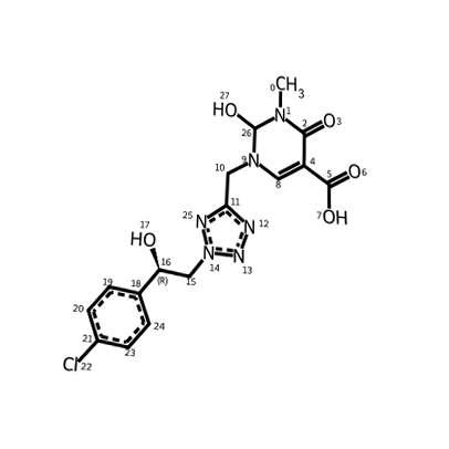 CN1C(=O)C(C(=O)O)=CN(Cc2nnn(C[C@H](O)c3ccc(Cl)cc3)n2)C1O